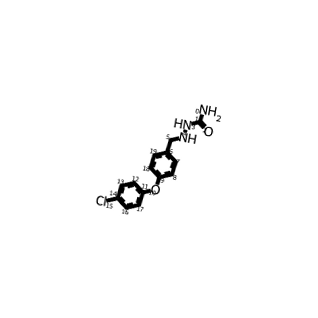 NC(=O)NNCc1ccc(Oc2ccc(Cl)cc2)cc1